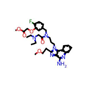 CCN(CC)CC(=O)N(CCCn1c(CCOC)nc2c(N)nc3ccccc3c21)Cc1ccc(F)c(OCC(=O)OC)c1